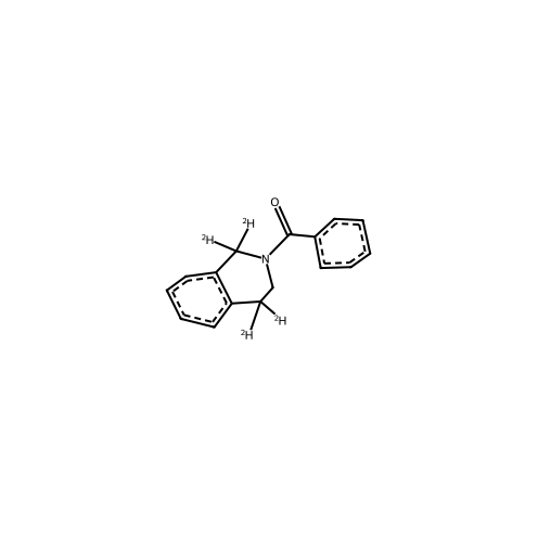 [2H]C1([2H])CN(C(=O)c2ccccc2)C([2H])([2H])c2ccccc21